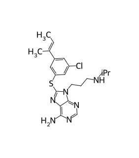 C/C=C(\C)c1cc(Cl)cc(Sc2nc3c(N)ncnc3n2CCCNC(C)C)c1